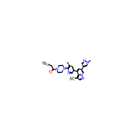 Cc1cc(-c2cc(-c3cnn(C)c3)cn3ncc(C#N)c23)cnc1N1CCN(C(=O)CC(C)(C)C)CC1